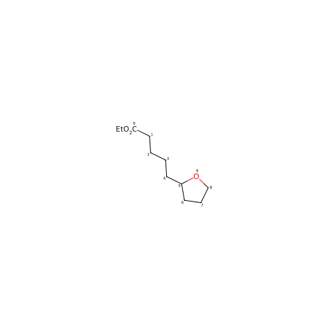 CCOC(=O)CCCCC1CCCO1